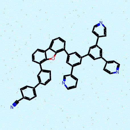 N#Cc1ccc(-c2cccc(-c3cccc4c3oc3c(-c5cc(-c6cccnc6)cc(-c6cc(-c7ccncc7)cc(-c7ccncc7)c6)c5)cccc34)c2)cc1